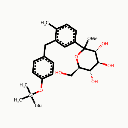 COC1(c2ccc(C)c(Cc3ccc(O[Si](C)(C)C(C)(C)C)cc3)c2)O[C@H](CO)[C@@H](O)[C@H](O)[C@H]1O